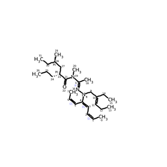 C\C=C/C=C(\C=C/C)N(CC(=CCC)CC)/N=C(\C)N(C)C(=O)[C@H](CCC)C[C@H](C)CC